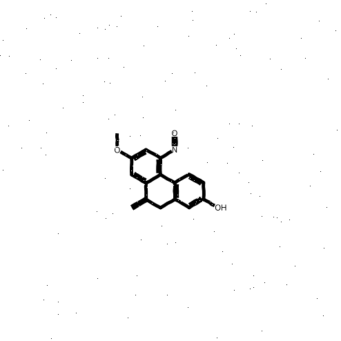 C=C1Cc2cc(O)ccc2-c2c(N=O)cc(OC)cc21